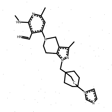 CNc1nc(C)cc(N2CCc3c(c(C)nn3CC34CCC(n5ccnc5)(CC3)CC4)C2)c1C=N